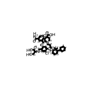 CC1(C)C(c2ccccc2)=CC=C[C@@]1(COc1cc(OCc2cncc(C(N)=O)c2)c(CNC(CO)C(=O)O)cc1Cl)OCCCN1CCC(O)(C(=O)O)CC1